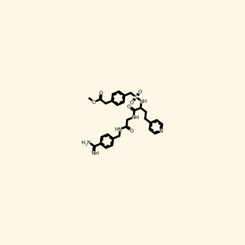 COC(=O)Cc1ccc(CS(=O)(=O)NC(CCc2ccncc2)C(=O)NCC(=O)NCc2ccc(C(=N)N)cc2)cc1